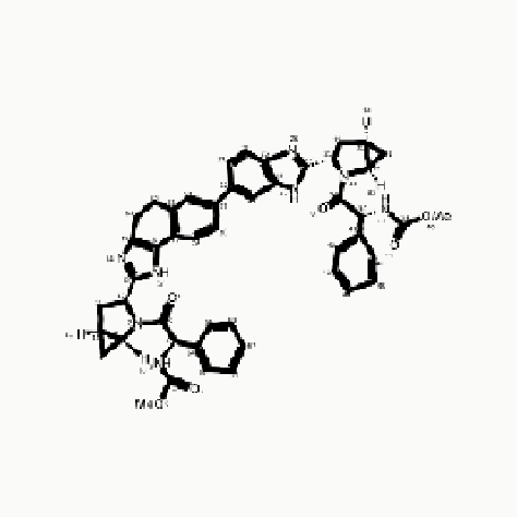 COC(=O)N[C@@H](C(=O)N1[C@@H]2C[C@@H]2C[C@H]1c1nc2c([nH]1)-c1ccc(-c3ccc4nc([C@@H]5C[C@H]6C[C@H]6N5C(=O)[C@H](NC(=O)OC)c5ccccc5)[nH]c4c3)cc1CC2)c1ccccc1